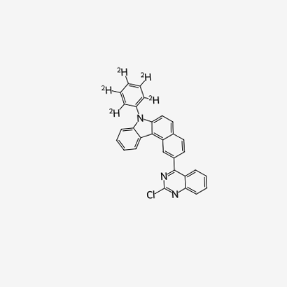 [2H]c1c([2H])c([2H])c(-n2c3ccccc3c3c4cc(-c5nc(Cl)nc6ccccc56)ccc4ccc32)c([2H])c1[2H]